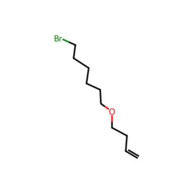 C=CCCOCCCCCCBr